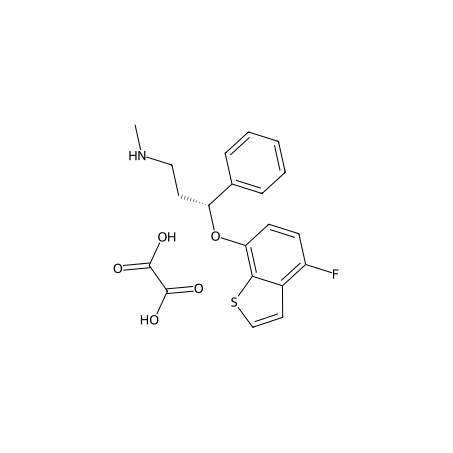 CNCC[C@@H](Oc1ccc(F)c2ccsc12)c1ccccc1.O=C(O)C(=O)O